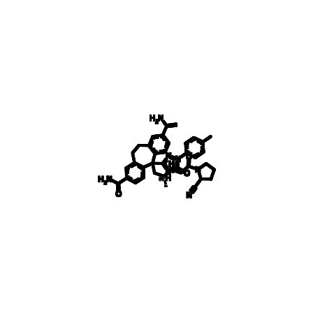 C=C(N)c1ccc2c(c1)CCc1cc(C(N)=O)ccc1C2(C[C@@H](C)NCC(=O)N1CCCC1C#N)c1nn(-c2ccc(C)cc2)c(=O)[nH]1